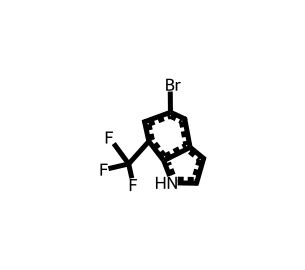 FC(F)(F)c1cc(Br)cc2cc[nH]c12